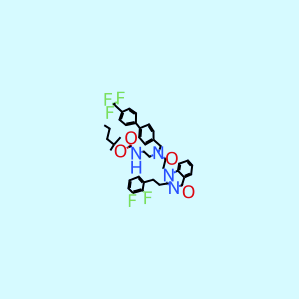 CCCC(C)(C)OC(=O)NCCN(Cc1ccc(-c2ccc(C(F)(F)F)cc2)cc1)C(=O)Cn1c(CCc2cccc(F)c2F)nc(=O)c2ccccc21